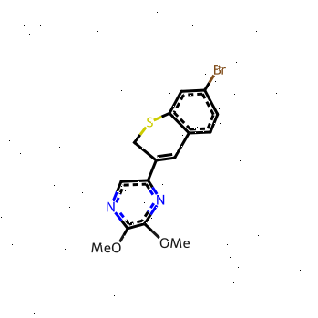 COc1ncc(C2=Cc3ccc(Br)cc3SC2)nc1OC